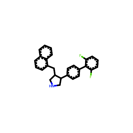 Fc1cccc(F)c1-c1ccc(C2CNCC2Cc2cccc3ccccc23)cc1